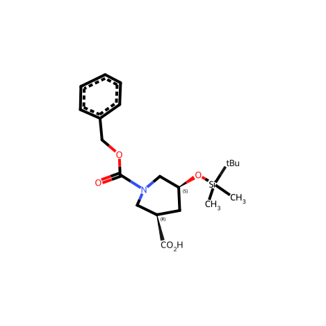 CC(C)(C)[Si](C)(C)O[C@H]1C[C@@H](C(=O)O)CN(C(=O)OCc2ccccc2)C1